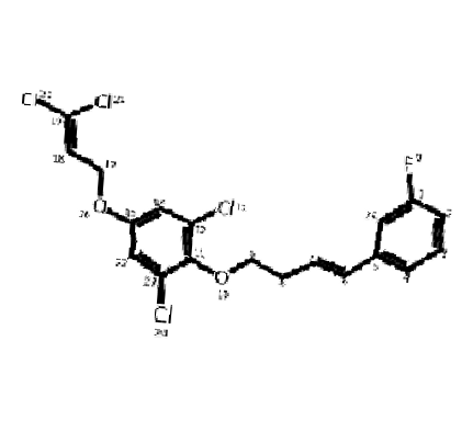 Fc1cccc(C=CCCOc2c(Cl)cc(OCC=C(Cl)Cl)cc2Cl)c1